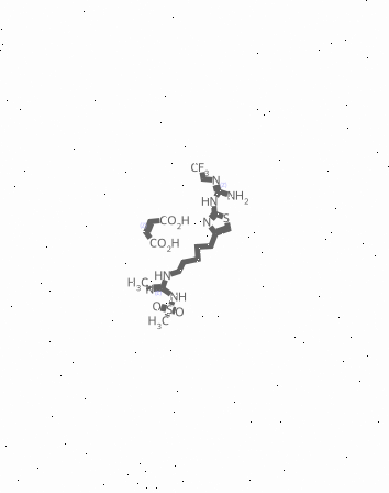 C/N=C(\NCCCCCc1csc(N/C(N)=N\CC(F)(F)F)n1)NS(C)(=O)=O.O=C(O)/C=C\C(=O)O